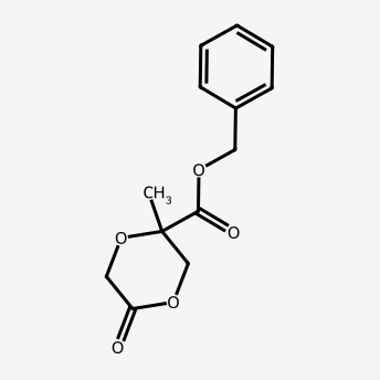 CC1(C(=O)OCc2ccccc2)COC(=O)CO1